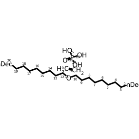 C=C.CCCCCCCCCCCCCCCCCCOCCCCCCCCCCCCCCCCCC.O=P(O)(O)O